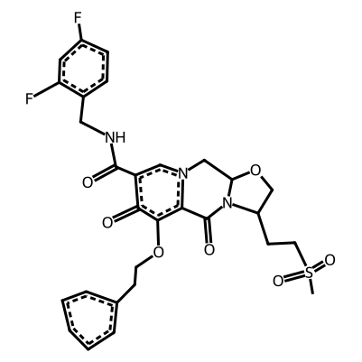 CS(=O)(=O)CCC1COC2Cn3cc(C(=O)NCc4ccc(F)cc4F)c(=O)c(OCCc4ccccc4)c3C(=O)N12